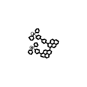 O=P(c1ccccc1)(c1ccccc1)c1ccc(-c2ccc(-c3cc(-c4ccc5ccc6ccc(-c7ccc(P(=O)(c8ccccc8)c8ccccc8)cc7)c7ccc4c5c67)c4ccc5cccc6ccc3c4c65)cc2)cc1